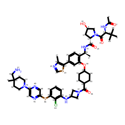 CC(=O)N[C@H](C(=O)N1C[C@H](O)C[C@H]1C(=O)N[C@@H](C)c1ccc(-c2scnc2C)cc1OC1CCC(C(=O)N2CC(Nc3cccc(Sc4cnc(N5CCC(C)(CN)CC5)cn4)c3Cl)C2)CC1)C(C)(C)C